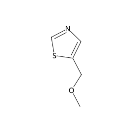 COCc1cncs1